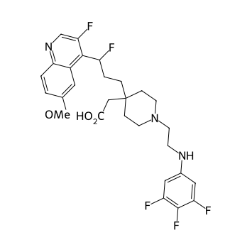 COc1ccc2ncc(F)c(C(F)CCC3(CC(=O)O)CCN(CCNc4cc(F)c(F)c(F)c4)CC3)c2c1